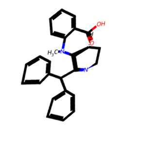 CN(c1ccccc1C(=O)O)C1C(C(c2ccccc2)c2ccccc2)[N@]2CC[C@H]1CC2